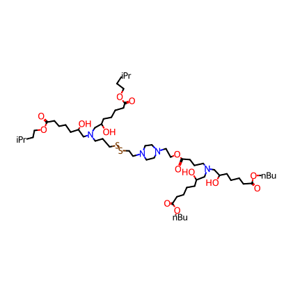 CCCCOC(=O)CCCCC(O)CN(CCCC(=O)OCCN1CCN(CCSSCCCN(CC(O)CCCCC(=O)OCCC(C)C)CC(O)CCCCC(=O)OCCC(C)C)CC1)CC(O)CCCCC(=O)OCCCC